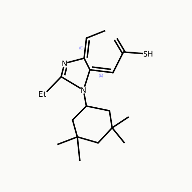 C=C(S)/C=c1\c(=C/C)nc(CC)n1C1CC(C)(C)CC(C)(C)C1